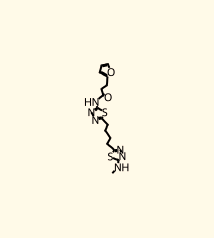 CNc1nnc(CCCCc2nnc(NC(=O)CCc3ccco3)s2)s1